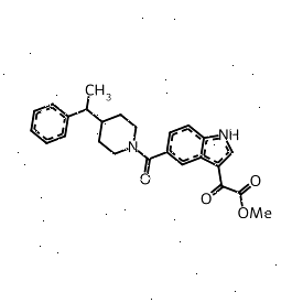 COC(=O)C(=O)c1c[nH]c2ccc(C(=O)N3CCC(C(C)c4ccccc4)CC3)cc12